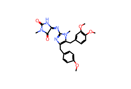 COc1ccc(Cc2nc(N=C3NC(=O)N(C)C3=O)n(C)c2Cc2ccc(OC)c(OC)c2)cc1